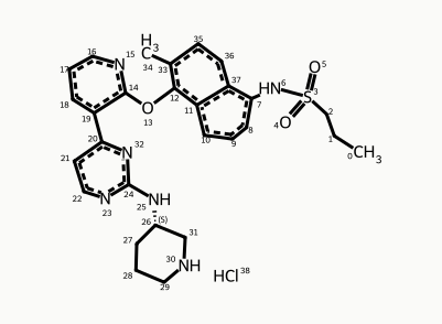 CCCS(=O)(=O)Nc1cccc2c(Oc3ncccc3-c3ccnc(N[C@H]4CCCNC4)n3)c(C)ccc12.Cl